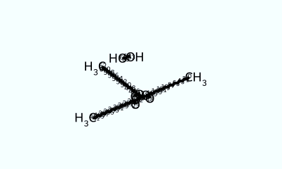 CCCCCCCCCCCCCCCCCC(=O)OCC(COC(=O)CCCCCCCCCCCCCCCCC)OC(=O)CCCCCCCCCCCCCCCCC.OCCO